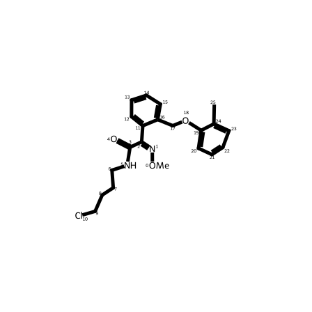 CON=C(C(=O)NCCCCCl)c1ccccc1COc1ccccc1C